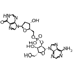 Nc1ncnc2c1ncn2[C@@H]1O[C@H](CO)[C@@H](O)[C@H]1OP(=O)(O)OC[C@H]1OC(n2cnc3c(=O)[nH]cnc32)C[C@@H]1O